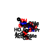 CCC(C)[C@@H](C(CC(=O)N1CCC[C@H]1[C@H](OC)[C@@H](C)C(=O)N[C@H](C)C(O)c1ccccc1)OC)N(C)C(=O)[C@@H](NC(=O)[C@H](C(C)C)N(C)C(=O)OCc1ccc(OC2OC(C(=O)OC)[C@@H](OC(C)=O)C(OC(C)=O)[C@H]2OC(C)=O)c(C(=O)O)c1)C(C)C